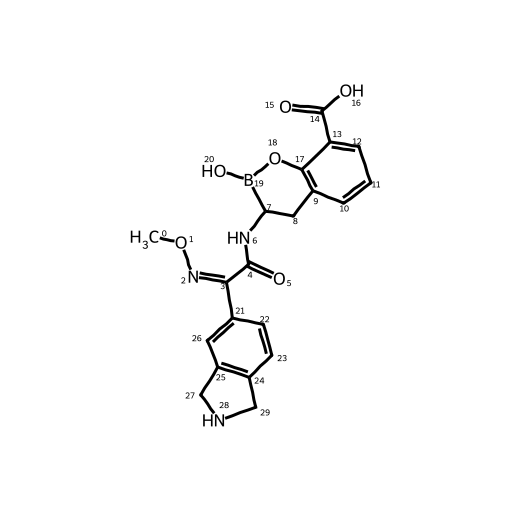 CON=C(C(=O)NC1Cc2cccc(C(=O)O)c2OB1O)c1ccc2c(c1)CNC2